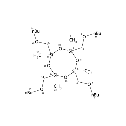 CCCCOC[Si]1(C)O[Si](C)(COCCCC)O[Si](C)(COCCCC)O[Si](C)(COCCCC)O1